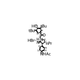 Br.CCC[C@H]1CN(CC(=O)c2cc(C(C)(C)C)c(O)c(C(C)(C)C)c2)C(=N)[C@@H]1c1ccc(NC(C)=O)cc1